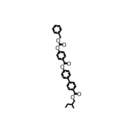 CCC(C)COC(=O)c1ccc(-c2ccc(OC(=O)c3ccc(OC(=O)OCc4ccccc4)cc3)cc2)cc1